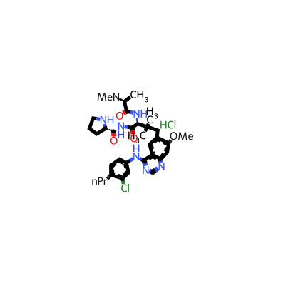 CCCc1ccc(Nc2ncnc3cc(OC)c(CC(C)(C)[C@H](NC(=O)[C@H](C)NC)C(=O)NC(=O)[C@@H]4CCCN4)cc23)cc1Cl.Cl